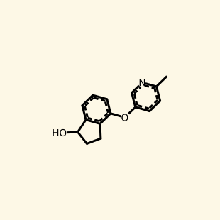 Cc1ccc(Oc2cccc3c2CCC3O)cn1